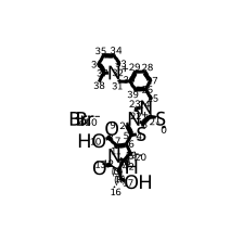 CSc1c2sc(C3=C(C(=O)O)N4C(=O)[C@H]([C@@H](C)O)[C@H]4[C@H]3C)c[n+]2cn1Cc1cccc(C[n+]2ccccc2C)c1.[Br-].[Br-]